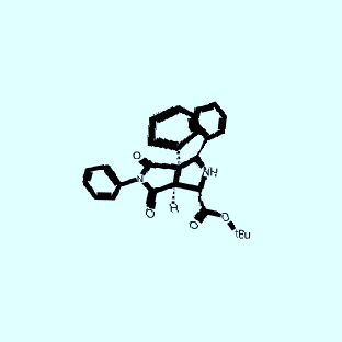 CC(C)(C)OC(=O)[C@@H]1N[C@H](c2ccccc2)[C@]2(c3ccccc3)C(=O)N(c3ccccc3)C(=O)[C@H]12